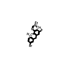 CCN(C)/C=N\c1cc(F)cc(Cc2cccc(Br)c2)c1C